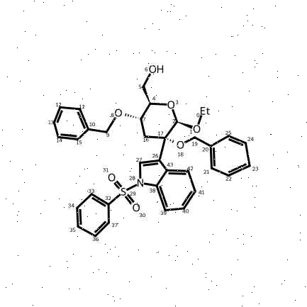 CCO[C@@H]1O[C@H](CO)[C@@H](OCc2ccccc2)C[C@]1(OCc1ccccc1)c1cn(S(=O)(=O)c2ccccc2)c2ccccc12